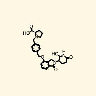 O=C1CCC(N2Cc3c(OCc4ccc(CN5CCC[C@@H]5C(=O)O)cc4)cccc3C2=O)C(O)N1